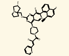 C#Cc1ccc(F)c2cccc(-c3ncc4c(N5CCN(C(=O)/C(F)=C/c6ccccn6)CC5)nc(OCC56CCCN5C[C@H](F)C6)nc4c3F)c12